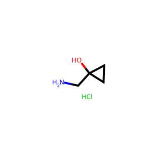 Cl.NCC1(O)CC1